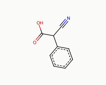 N#CC(C(=O)O)c1ccccc1